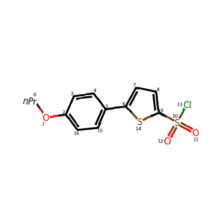 CCCOc1ccc(-c2ccc(S(=O)(=O)Cl)s2)cc1